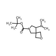 CN(C)C1CN(C(=O)OC(C)(C)C)CC12COC2